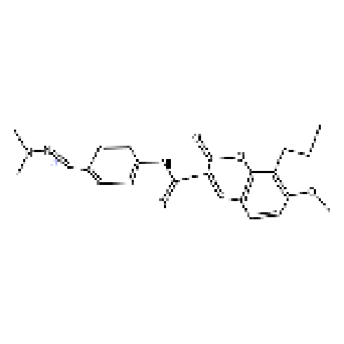 CCCc1c(OC)ccc2cc(C(=O)Nc3ccc(/C=N/N(C)C)cc3)c(=O)oc12